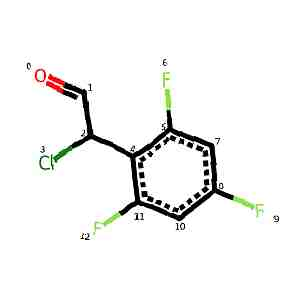 O=CC(Cl)c1c(F)cc(F)cc1F